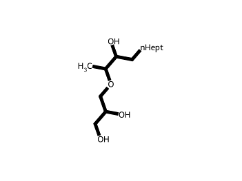 CCCCCCCCC(O)C(C)OCC(O)CO